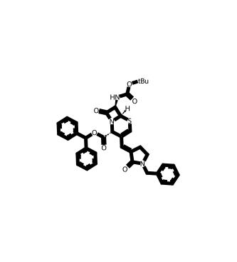 CC(C)(C)OC(=O)N[C@@H]1C(=O)N2[C@@H](C(=O)OC(c3ccccc3)c3ccccc3)C(C=C3CCN(Cc4ccccc4)C3=O)=CS[C@H]12